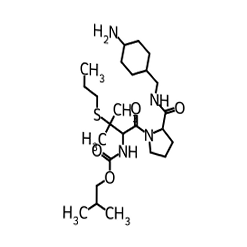 CCCSC(C)(C)C(NC(=O)OCC(C)C)C(=O)N1CCCC1C(=O)NCC1CCC(N)CC1